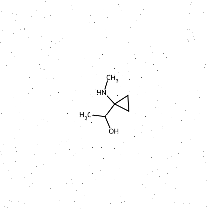 CNC1(C(C)O)CC1